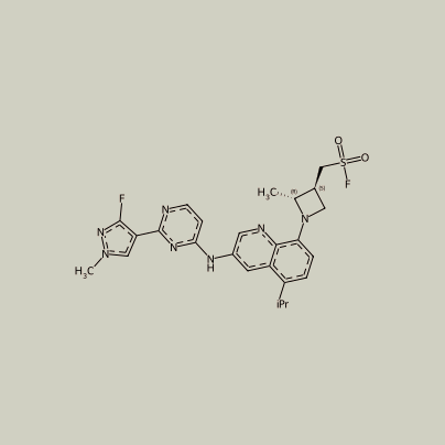 CC(C)c1ccc(N2C[C@H](CS(=O)(=O)F)[C@H]2C)c2ncc(Nc3ccnc(-c4cn(C)nc4F)n3)cc12